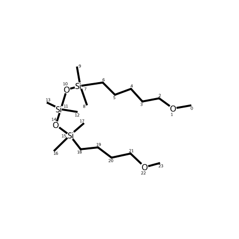 COCCCCC[Si](C)(C)O[Si](C)(C)O[Si](C)(C)CCCCOC